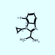 CC(N)c1nc2cccc(F)c2n1C1CC1